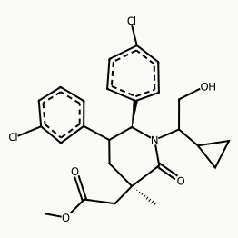 COC(=O)C[C@@]1(C)CC(c2cccc(Cl)c2)[C@@H](c2ccc(Cl)cc2)N(C(CO)C2CC2)C1=O